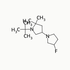 CC(C)(C)N1CC(N2CCC(F)C2)CC1(C)C